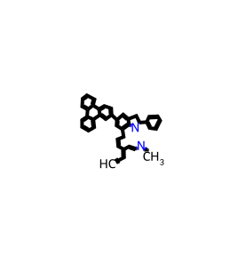 C#C/C=C(\C=C/Cc1cc(-c2ccc3c4ccccc4c4ccccc4c3c2)cc2c1N=C(c1ccccc1)C2)/C=C/N=C\C